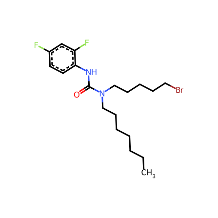 CCCCCCCN(CCCCCBr)C(=O)Nc1ccc(F)cc1F